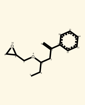 C=C(CC(CC)OCC1CO1)c1ccccc1